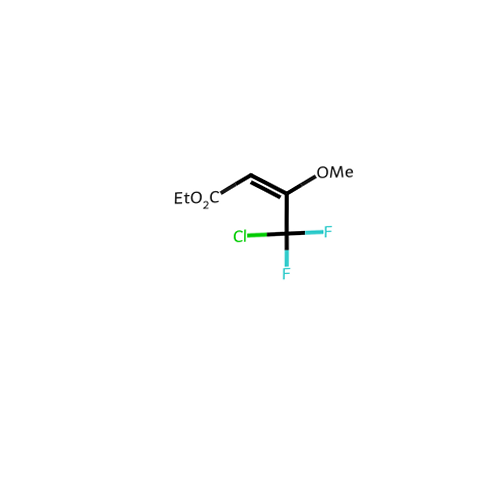 CCOC(=O)C=C(OC)C(F)(F)Cl